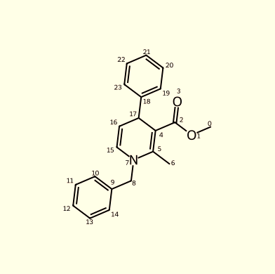 COC(=O)C1=C(C)N(Cc2ccccc2)C=CC1c1ccccc1